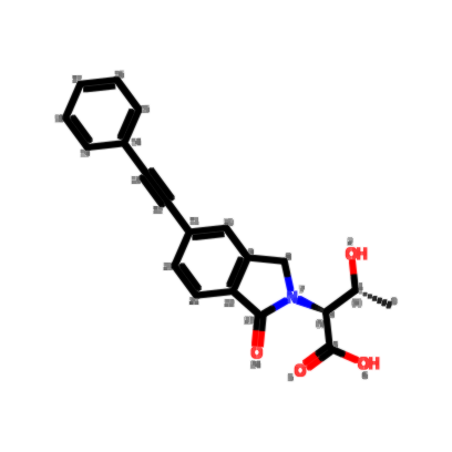 C[C@@H](O)[C@@H](C(=O)O)N1Cc2cc(C#Cc3ccccc3)ccc2C1=O